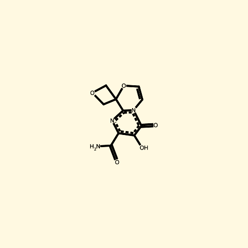 NC(=O)c1nc2n(c(=O)c1O)C=COC21COC1